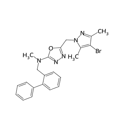 Cc1nn(Cc2nnc(N(C)Cc3ccccc3-c3ccccc3)o2)c(C)c1Br